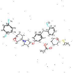 CS[C@@H]1C[C@H](OC(C)=O)C[C@H](c2ccc(F)c(Cc3ccc(O[C@@H]4CCN([C@@H]5CC[C@@H](c6cc(F)ccc6F)OC5)C4)cc3)c2)O1